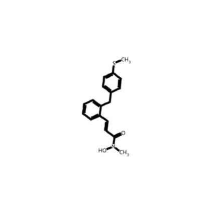 CSc1ccc(Cc2ccccc2C=CC(=O)N(C)O)cc1